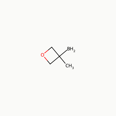 BC1(C)COC1